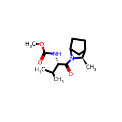 COC(=O)N[C@H](C(=O)N1C2CCC(C2)[C@H]1C)C(C)C